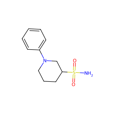 NS(=O)(=O)C1CCCN(c2ccccc2)C1